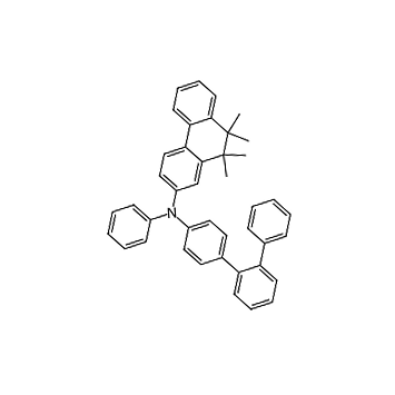 CC1(C)c2ccccc2-c2ccc(N(c3ccccc3)c3ccc(-c4ccccc4-c4ccccc4)cc3)cc2C1(C)C